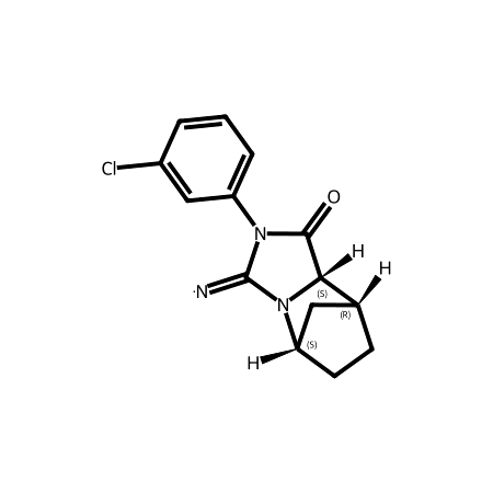 [N]=C1N(c2cccc(Cl)c2)C(=O)[C@@H]2[C@@H]3CC[C@@H](C3)N12